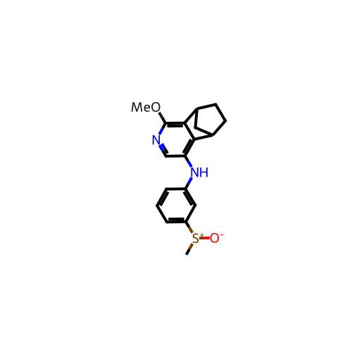 COc1ncc(Nc2cccc([S+](C)[O-])c2)c2c1C1CCC2C1